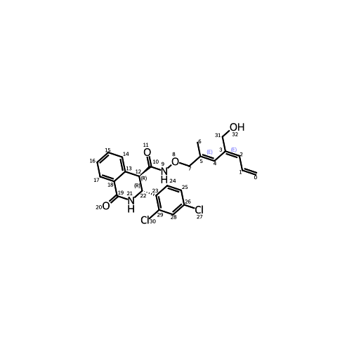 C=C/C=C(\C=C(/C)CONC(=O)[C@@H]1c2ccccc2C(=O)N[C@H]1c1ccc(Cl)cc1Cl)CO